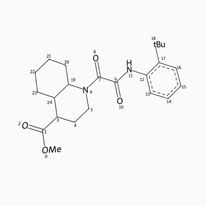 COC(=O)C1CCN(C(=O)C(=O)Nc2ccccc2C(C)(C)C)C2CCCCC12